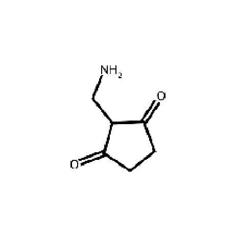 NCC1C(=O)CCC1=O